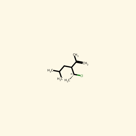 C=C(C)C(CC(C)C)[C@@H](C)Cl